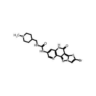 CN1CCC(CNC(=O)Nc2cnc3c(c2)[nH]c(=O)c2c3nn3cc(Br)sc23)CC1